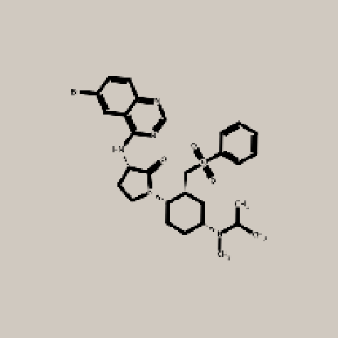 CC(C)N(C)[C@@H]1CC[C@H](N2CC[C@H](Nc3ncnc4ccc(Br)cc34)C2=O)[C@@H](CS(=O)(=O)c2ccccc2)C1